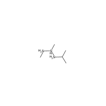 C[SiH2][SiH](C)[SiH2]C(C)C